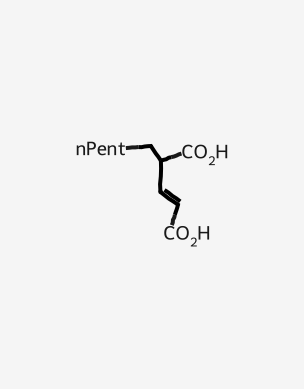 CCCCCCC(C=CC(=O)O)C(=O)O